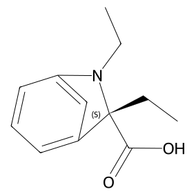 CCN1c2cccc(c2)[C@@]1(CC)C(=O)O